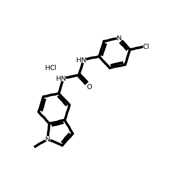 Cl.Cn1ccc2cc(NC(=O)Nc3ccc(Cl)nc3)ccc21